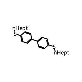 CCCCCCCSc1ccc(-c2ccc(SCCCCCCC)cc2)cc1